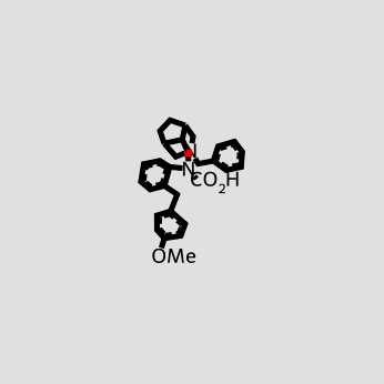 COc1ccc(Cc2ccccc2N(CC2C3CCC2CN(Cc2ccccc2)C3)C(=O)O)cc1